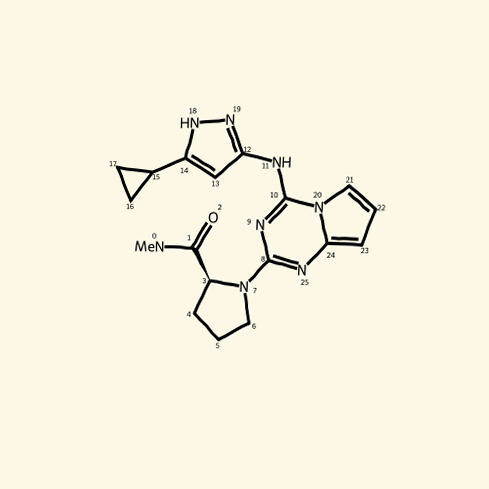 CNC(=O)[C@@H]1CCCN1c1nc(Nc2cc(C3CC3)[nH]n2)n2cccc2n1